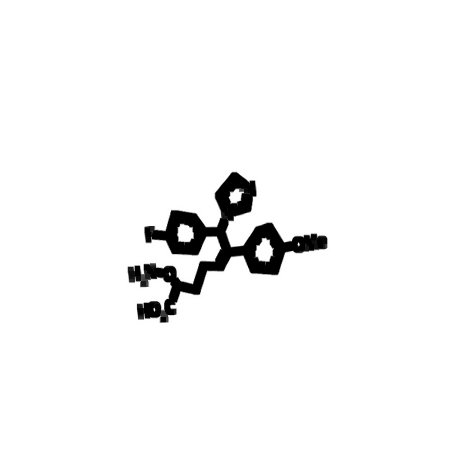 COc1ccc(/C(=C/CCC(ON)C(=O)O)C(c2ccc(F)cc2)n2ccnc2)cc1